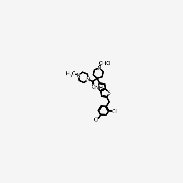 CN1CCN(C(=O)C2(c3cc4sc(Cc5ccc(Cl)cc5Cl)cc4[nH]3)CCN(C=O)CC2)CC1